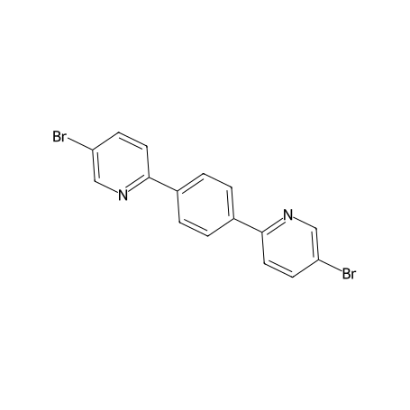 Brc1ccc(-c2ccc(-c3ccc(Br)cn3)cc2)nc1